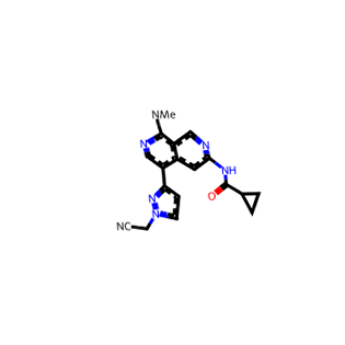 CNc1ncc(-c2ccn(CC#N)n2)c2cc(NC(=O)C3CC3)ncc12